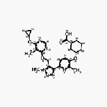 Cc1nc(-c2nnn(C)c2COc2ncnc(OC3CC3)c2C)ccc1O[C@H]1CCC[C@H](C(=O)O)C1